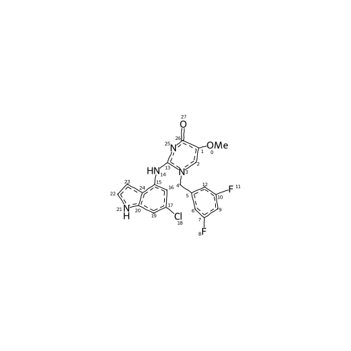 COc1cn(Cc2cc(F)cc(F)c2)c(Nc2cc(Cl)cc3[nH]ccc23)nc1=O